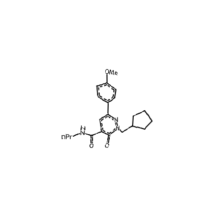 CCCNC(=O)c1cc(-c2ccc(OC)cc2)nn(CC2CCCC2)c1=O